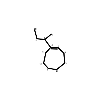 [CH2]CC(C)/C1=C/CCCCCC1